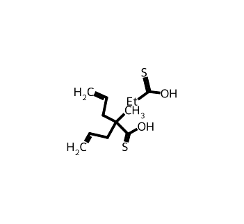 C=CCC(C)(CC=C)C(O)=S.CCC(O)=S